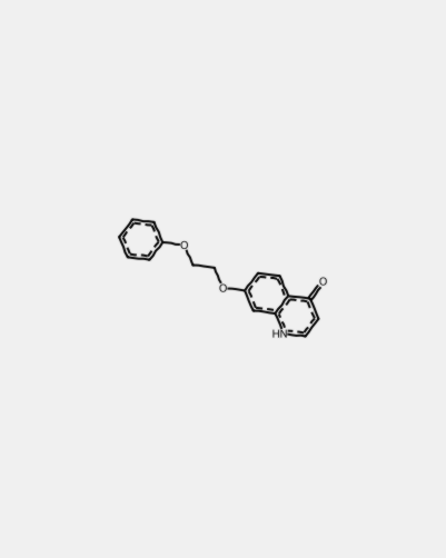 O=c1cc[nH]c2cc(OCCOc3ccccc3)ccc12